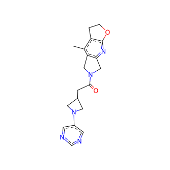 Cc1c2c(nc3c1CCO3)CN(C(=O)CC1CN(c3cncnc3)C1)C2